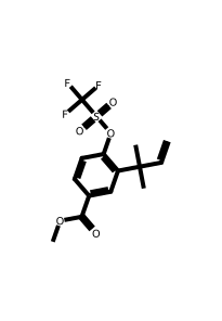 C=CC(C)(C)c1cc(C(=O)OC)ccc1OS(=O)(=O)C(F)(F)F